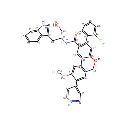 COc1cc2c(cc1-c1ccncc1)COc1cc(-c3ccccc3F)c(C(=O)N[C@@H](CO)Cc3c[nH]c4ccccc34)cc1-2